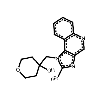 CCCc1nc2cnc3ccccc3c2n1CC1(O)CCOCC1